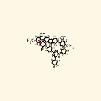 Fc1ccc(-c2ccc(-c3nc(-c4ccccc4)nc(-c4ccccc4)n3)cc2-n2c3cc(-c4ccc(C(F)(F)F)cc4C(F)(F)F)ccc3c3ccc(-c4ccc(C(F)(F)F)cc4C(F)(F)F)cc32)c(F)c1